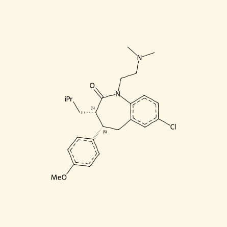 COc1ccc([C@H]2Cc3cc(Cl)ccc3N(CCN(C)C)C(=O)[C@H]2CC(C)C)cc1